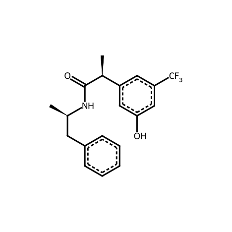 C[C@H](Cc1ccccc1)NC(=O)[C@@H](C)c1cc(O)cc(C(F)(F)F)c1